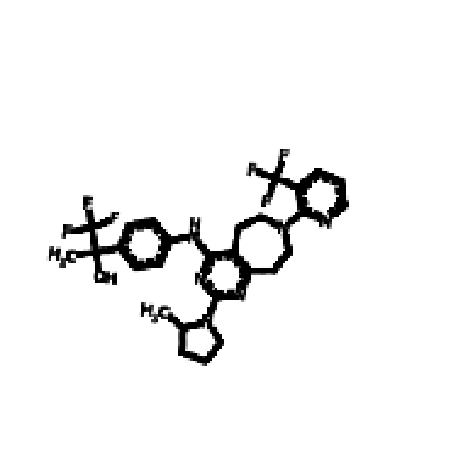 CC1CCCN1c1nc2c(c(Nc3ccc(C(C)(O)C(F)(F)F)cc3)n1)CCN(c1ncccc1C(F)(F)F)CC2